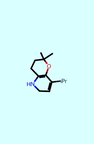 CC(C)C1=CCNC2=C1OC(C)(C)CC2